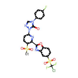 CCS(=O)(=O)c1ccc(-n2ncn(-c3ccc(F)cc3)c2=O)nc1-c1nc2cc(S(=O)(=O)C(F)(F)Cl)ccc2o1